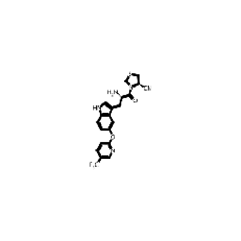 N#C[C@@H]1CSCN1C(=O)[C@@H](N)Cc1c[nH]c2ccc(Oc3ccc(C(F)(F)F)cn3)cc12